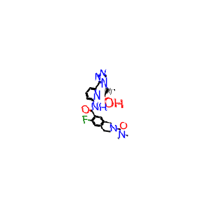 C[C@H](CO)n1cnnc1-c1cccc(NC(=O)c2cc3c(cc2F)CCN(C(=O)N(C)C)C3)n1